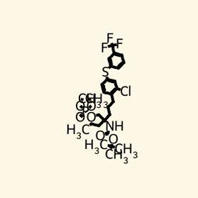 CCCC(CCCc1ccc(Sc2cccc(C(F)(F)F)c2)cc1Cl)(COP(=O)(OC)OC)NC(=O)OC(C)(C)C